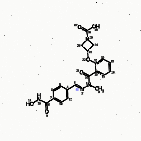 CN(/N=C/c1ccc(C(=O)NO)cc1)C(=O)c1ccccc1OC1CN(C(=O)O)C1